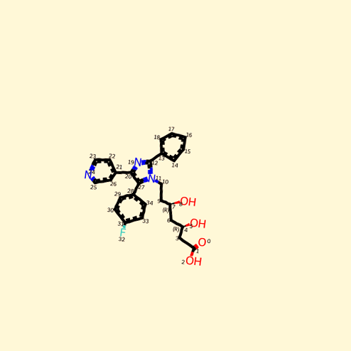 O=C(O)C[C@H](O)C[C@H](O)CCn1c(-c2ccccc2)nc(-c2ccncc2)c1-c1ccc(F)cc1